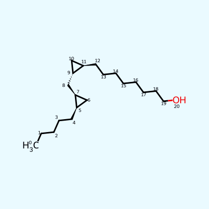 CCCCC[C@@H]1C[C@@H]1C[C@@H]1C[C@H]1CCCCCCCCO